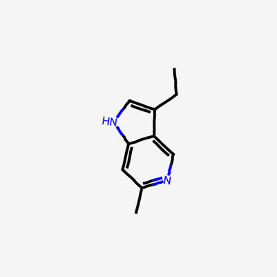 CCc1c[nH]c2cc(C)ncc12